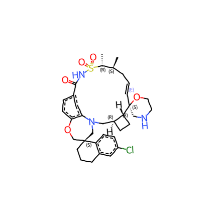 C[C@@H]1[C@@H](C)C/C=C/[C@]2(CNCCO2)[C@@H]2CC[C@H]2CN2C[C@@]3(CCCc4cc(Cl)ccc43)COc3ccc(cc32)C(=O)NS1(=O)=O